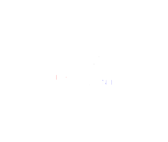 OC1CC2CCC1NC2